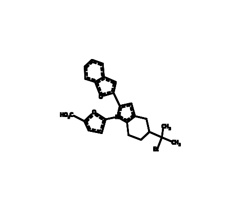 CCC(C)(C)C1CCc2c(cc(-c3cc4ccccc4o3)n2-c2ccc(C(=O)O)o2)C1